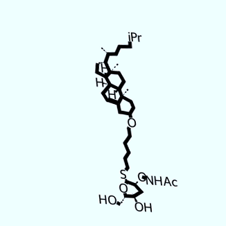 CC(=O)NO[C@@H]1C[C@@H](O)[C@H](CO)O[C@H]1SCCCCCCOC1CC[C@@]2(C)C(=CC[C@H]3[C@@H]4CC[C@H]([C@H](C)CCCC(C)C)[C@@]4(C)CC[C@@H]32)C1